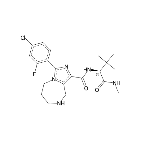 CNC(=O)[C@@H](NC(=O)c1nc(-c2ccc(Cl)cc2F)n2c1CNCCC2)C(C)(C)C